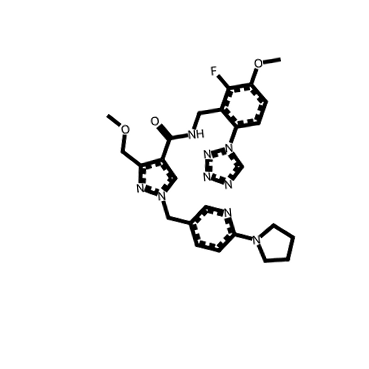 COCc1nn(Cc2ccc(N3CCCC3)nc2)cc1C(=O)NCc1c(-n2cnnn2)ccc(OC)c1F